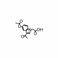 CC(=O)Oc1ccc2c(c1)c(C(C)=O)cn2CC(=O)O